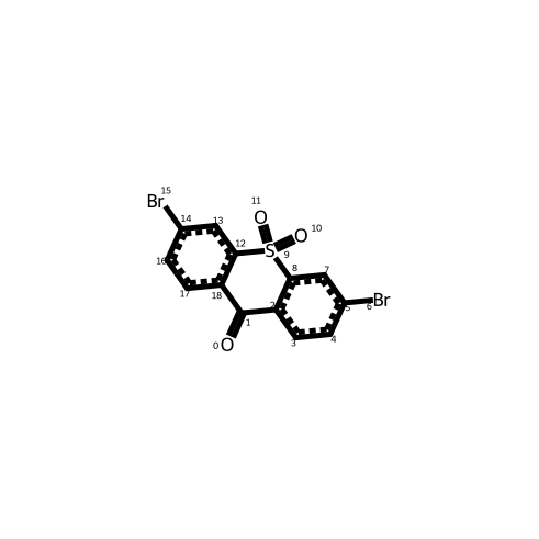 O=C1c2ccc(Br)cc2S(=O)(=O)c2cc(Br)ccc21